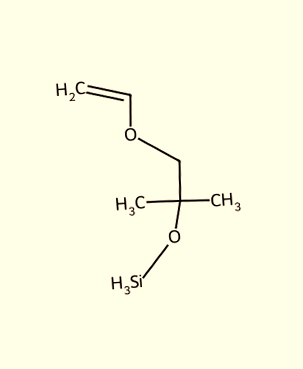 C=COCC(C)(C)O[SiH3]